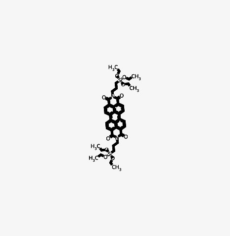 CCO[Si](CCCN1C(=O)c2ccc3c4ccc5c6c(ccc(c7ccc(c2c37)C1=O)c64)C(=O)N(CCC[Si](OCC)(OCC)OCC)C5=O)(OCC)OCC